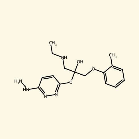 CCNCC(O)(COc1ccccc1C)Oc1ccc(NN)nn1